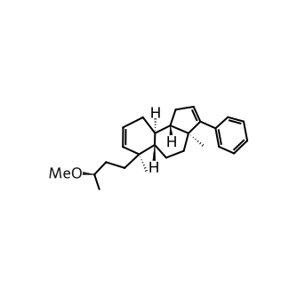 CO[C@H](C)CC[C@@]1(C)C=CC[C@@H]2[C@@H]1CC[C@]1(C)C(c3ccccc3)=CC[C@@H]21